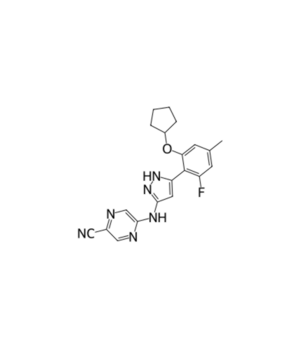 Cc1cc(F)c(-c2cc(Nc3cnc(C#N)cn3)n[nH]2)c(OC2CCCC2)c1